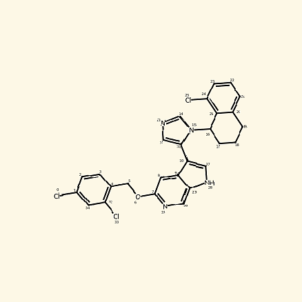 Clc1ccc(COc2cc3c(-c4cncn4C4CCCc5cccc(Cl)c54)c[nH]c3cn2)c(Cl)c1